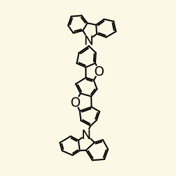 c1ccc2c(c1)c1ccccc1n2-c1ccc2c(c1)oc1cc3c(cc12)oc1cc(-n2c4ccccc4c4ccccc42)ccc13